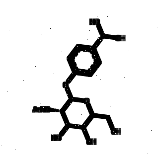 CC(=O)N[C@@H]1C(Oc2ccc(B(O)O)cc2)OC(CO)C(O)C1O